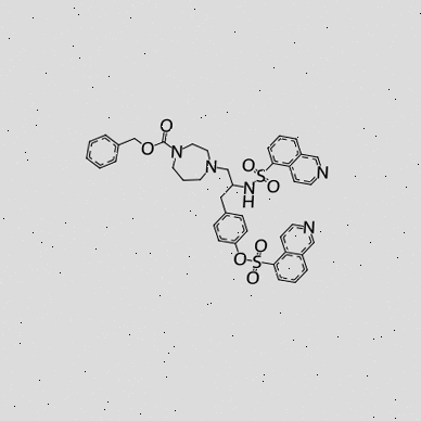 O=C(OCc1ccccc1)N1CCCN(CC(Cc2ccc(OS(=O)(=O)c3cccc4cnccc34)cc2)NS(=O)(=O)c2cccc3cnccc23)CC1